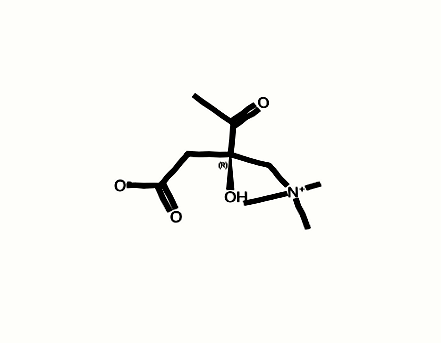 CC(=O)[C@@](O)(CC(=O)[O-])C[N+](C)(C)C